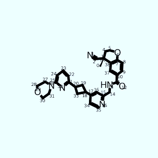 C[C@@]1(C#N)CCOc2ccc(C(=O)NCc3cc(C4CC(c5cccc(N6CCOCC6)n5)C4)ccn3)cc21